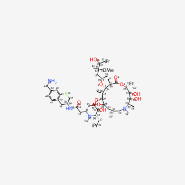 CC[C@H]1OC(=O)[C@H](C)[C@@H](O[C@H](C)C[C@@](C)(OC)[C@@H](O)C(C)C)[C@H](C)[C@@H](O[C@H](C)[C@H](O)[C@H](CC(C)C)N(C)CCC(=O)N[C@H](CF)Cc2ccc(CN)cc2)[C@](C)(O)C[C@@H](C)CN(C)[C@H](C)[C@@H](O)[C@]1(C)O